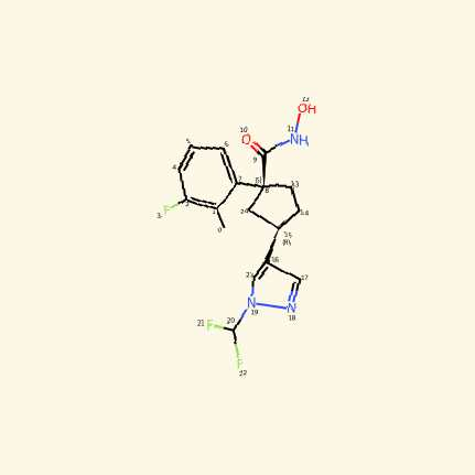 Cc1c(F)cccc1[C@]1(C(=O)NO)CC[C@@H](c2cnn(C(F)F)c2)C1